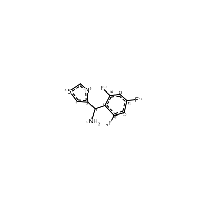 NC(c1cs[c]n1)c1c(F)cc(F)cc1F